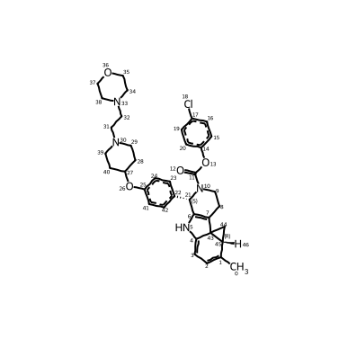 CC1=CC=C2NC3=C(CCN(C(=O)Oc4ccc(Cl)cc4)[C@H]3c3ccc(OC4CCN(CCN5CCOCC5)CC4)cc3)C23C[C@H]13